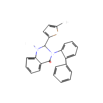 Cc1ccc(C2N(C)c3ccccc3C(=O)N2c2ccccc2-c2ccccc2)s1